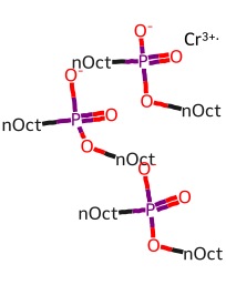 CCCCCCCCOP(=O)([O-])CCCCCCCC.CCCCCCCCOP(=O)([O-])CCCCCCCC.CCCCCCCCOP(=O)([O-])CCCCCCCC.[Cr+3]